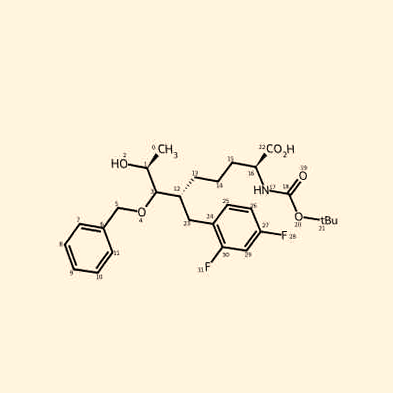 C[C@H](O)C(OCc1ccccc1)[C@H](CCC[C@H](NC(=O)OC(C)(C)C)C(=O)O)Cc1ccc(F)cc1F